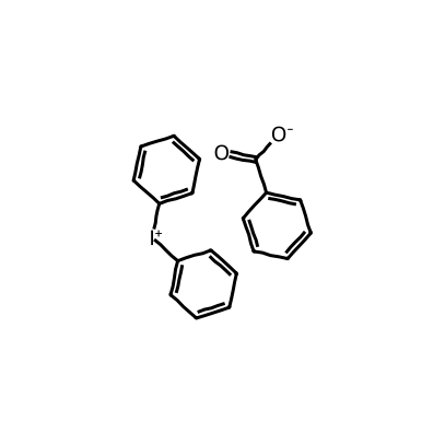 O=C([O-])c1ccccc1.c1ccc([I+]c2ccccc2)cc1